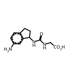 Nc1ccc2c(c1)C(NC(=O)NCC(=O)O)CC2